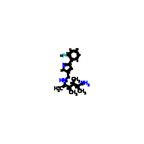 C=C(NCC1=CC(c2ccccc2F)=NC1)C(=C)/C(C)=C(\C)N